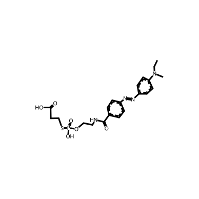 CCN(C)c1ccc(/N=N/c2ccc(C(=O)NCCOP(=O)(O)SCCC(=O)O)cc2)cc1